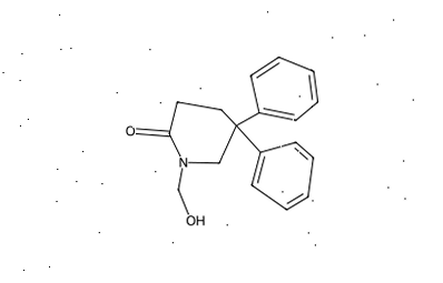 O=C1CCC(c2ccccc2)(c2ccccc2)CN1CO